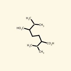 CI(C)C(CCC(C(=O)O)I(C)C)C(=O)O